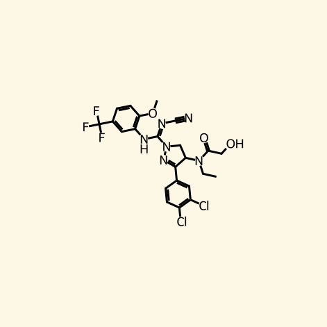 CCN(C(=O)CO)C1CN(/C(=N\C#N)Nc2cc(C(F)(F)F)ccc2OC)N=C1c1ccc(Cl)c(Cl)c1